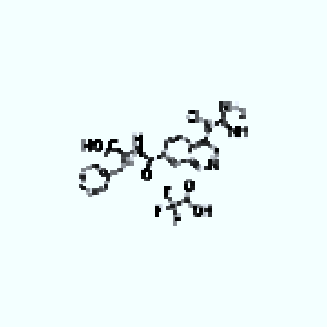 N=C(N)N(Cl)c1cncc2cc(C(=O)N[C@@H](Cc3ccccc3)C(=O)O)ccc12.O=C(O)C(F)(F)F